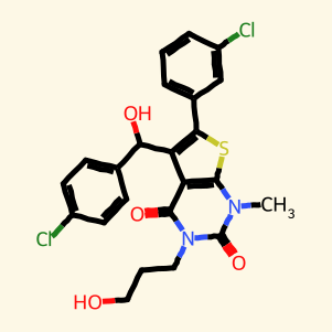 Cn1c(=O)n(CCCO)c(=O)c2c(C(O)c3ccc(Cl)cc3)c(-c3cccc(Cl)c3)sc21